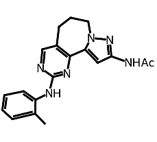 CC(=O)Nc1cc2n(n1)CCCc1cnc(Nc3ccccc3C)nc1-2